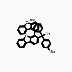 CC(C)(C)c1ccc(C(O)(c2ccc(C(C)(C)C)cc2)c2ccc3c(oc4ccccc43)c2-c2cccc3oc4ccccc4c23)cc1